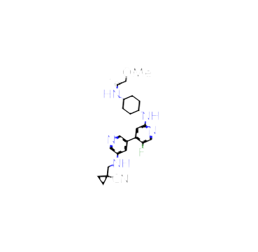 COC[C@@H](C)N[C@H]1CC[C@H](Nc2cc(-c3cncc(NCC4(C#N)CC4)c3)c(F)cn2)CC1